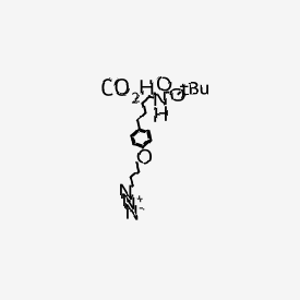 CC(C)(C)OC(=O)N[C@@H](CCCc1ccc(OCCCCN=[N+]=[N-])cc1)C(=O)O